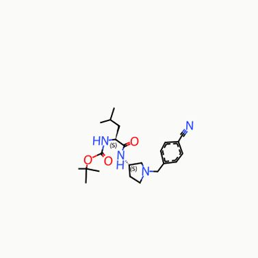 CC(C)C[C@H](NC(=O)OC(C)(C)C)C(=O)N[C@H]1CCN(Cc2ccc(C#N)cc2)C1